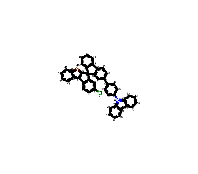 Clc1ccc2c(c1)C1(c3ccccc3-c3ccc(-c4ccc(-n5c6ccccc6c6ccccc65)cc4)cc31)c1sc3ccccc3c1-2